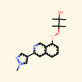 Cn1cc(-c2cc3cccc(BOC(C)(C)C(C)(C)O)c3cn2)cn1